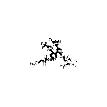 CCCNC(=O)Nc1cc(-c2nc(C(F)(F)F)cs2)c(-c2cc(-c3n[nH]c(=O)o3)cnc2OCCN(C(C)C)C(C)C)cn1